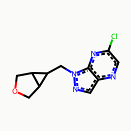 Clc1cnc2cnn(CC3C4COCC43)c2n1